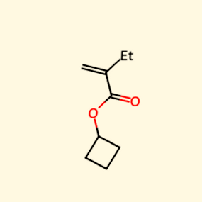 C=C(CC)C(=O)OC1CCC1